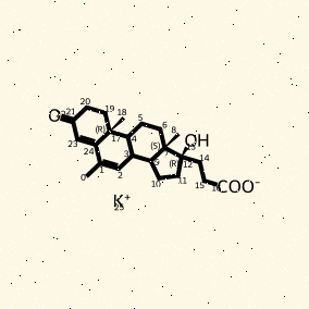 CC1=CC2C(CC[C@@]3(C)C2CC[C@@]3(O)CCC(=O)[O-])[C@@]2(C)CCC(=O)C=C12.[K+]